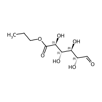 CCCOC(=O)[C@@H](O)[C@@H](O)[C@@H](O)[C@@H](O)C=O